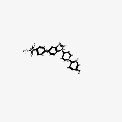 CS(=O)(=O)c1ccc(-c2ccc3c(c2)nnn3C2CCN(c3ccc(Br)cn3)CC2)cc1